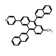 Cc1ccc2c(-c3ccc4ccccc4c3)c3cc(-c4ccncc4)ccc3c(-c3ccc4ccccc4c3)c2c1